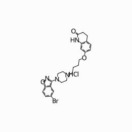 Cl.O=C1CCc2ccc(OCCCCN3CCN(c4noc5ccc(Br)cc45)CC3)cc2N1